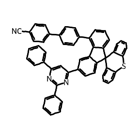 N#Cc1ccc(-c2ccc(-c3cccc4c3-c3cc(-c5cc(-c6ccccc6)nc(-c6ccccc6)n5)ccc3C43c4ccccc4Sc4ccccc43)cc2)cc1